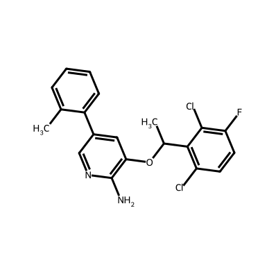 Cc1ccccc1-c1cnc(N)c(OC(C)c2c(Cl)ccc(F)c2Cl)c1